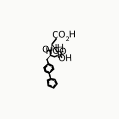 O=C(O)CCNC(=O)[C@H](Cc1ccc(-c2ccccc2)cc1)CP(=O)(O)O